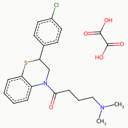 CN(C)CCCC(=O)N1CC(c2ccc(Cl)cc2)Sc2ccccc21.O=C(O)C(=O)O